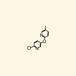 Cc1ccc(Oc2ccc(Cl)nc2)nc1